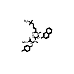 CNC(=O)[C@@H](Cc1ccc(I)cc1)N(C)C(=O)[C@@H](Cc1ccc2ccccc2c1)N(C)C(=O)C=CCC(C)(C)N